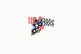 COC(=O)c1c(OC)c(=O)c(C(=O)N(c2ccc(F)cc2F)C2CC2)cn1CC(O)O